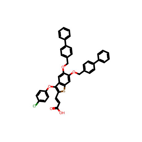 O=C(O)C=Cc1sc2cc(OCc3ccc(-c4ccccc4)cc3)c(OCc3ccc(-c4ccccc4)cc3)cc2c1Oc1ccc(Cl)cc1